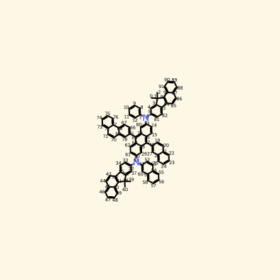 CC1(C)c2cc(N(c3ccccc3)c3ccc4c(-c5ccc6ccccc6c5)c5cc(N(c6ccc7c(c6)C(C)(C)c6c-7ccc7ccccc67)c6ccc7ccccc7c6)ccc5c(-c5ccc6c(ccc7ccccc76)c5)c4c3)ccc2-c2ccc3ccccc3c21